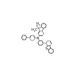 CC1(C)C2=CC(N(C3=CC=C(c4ccccc4)CC3)c3cccc(C4CC=Cc5c4sc4ccccc54)c3)=CCC2c2ccccc21